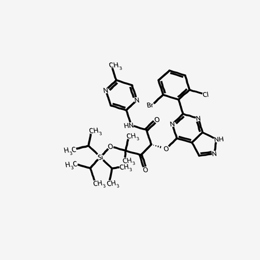 Cc1cnc(NC(=O)[C@H](Oc2nc(-c3c(Cl)cccc3Br)nc3[nH]ncc23)C(=O)C(C)(C)O[Si](C(C)C)(C(C)C)C(C)C)cn1